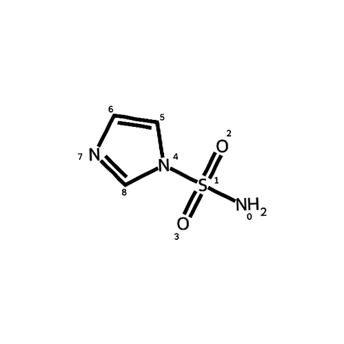 NS(=O)(=O)n1ccnc1